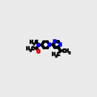 CC(=O)N(C)C1CCN(c2cc(C(C)C)ncn2)CC1